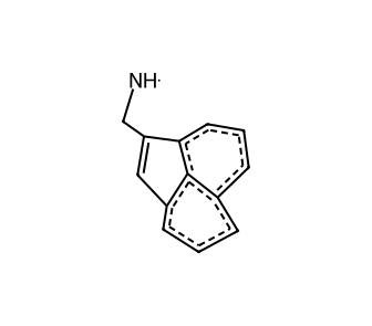 [NH]CC1=Cc2cccc3cccc1c23